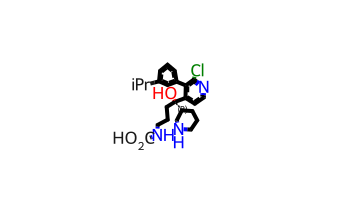 CC(C)c1cccc(-c2c(C(O)(CCCNC(=O)O)[C@@H]3CCCNC3)ccnc2Cl)c1